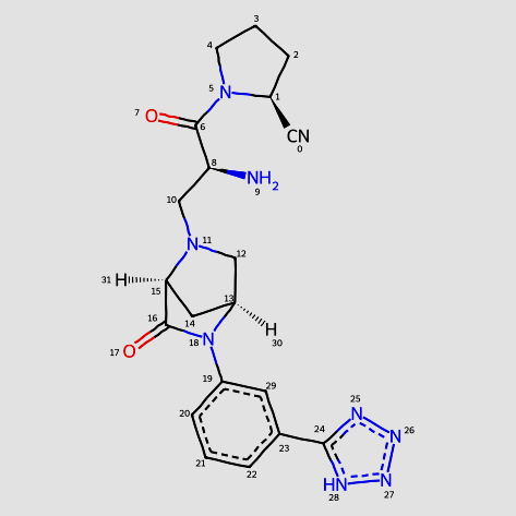 N#C[C@@H]1CCCN1C(=O)[C@@H](N)CN1C[C@@H]2C[C@H]1C(=O)N2c1cccc(-c2nnn[nH]2)c1